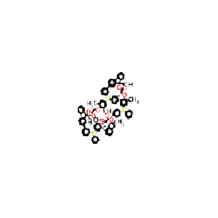 C#CC1(OC(=O)COc2c(C)cc([S+](c3ccccc3)c3ccccc3)cc2C)c2ccccc2-c2ccc(-c3cccc([S+](c4ccccc4)c4cc(C)c(OCC(=O)OC5(C)c6ccccc6-c6ccc(-c7cccc([S+](c8ccccc8)c8cc(C)c(OCC(=O)OC9(C)Cc%10ccccc%10C9)c(C)c8)c7)cc65)c(C)c4)c3)cc21